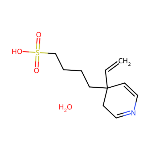 C=CC1(CCCCS(=O)(=O)O)C=CN=CC1.O